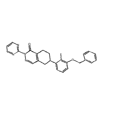 Cc1c(OCc2ccccc2)cccc1C1CCc2c(cnn(-c3ncccn3)c2=O)C1